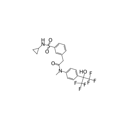 CN(C(=O)Cc1cccc(S(=O)(=O)NC2CC2)c1)c1ccc(C(O)(C(F)(F)F)C(F)(F)F)cc1